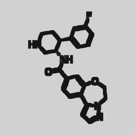 O=C(N[C@@H]1CNCC[C@H]1c1cccc(F)c1)c1ccc2c(c1)OCCn1nccc1-2